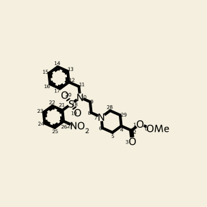 COOC(=O)C1CCN(CCN(Cc2ccccc2)S(=O)(=O)c2ccccc2[N+](=O)[O-])CC1